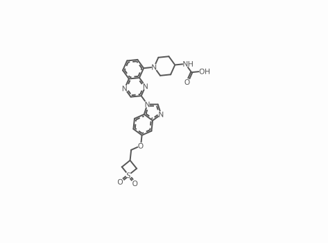 O=C(O)NC1CCN(c2cccc3ncc(-n4cnc5cc(OCC6CS(=O)(=O)C6)ccc54)nc23)CC1